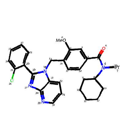 COc1cc(C(=O)N(C(C)C)C2CCCCC2)ccc1Cn1c(-c2ccccc2Cl)nc2ncccc21